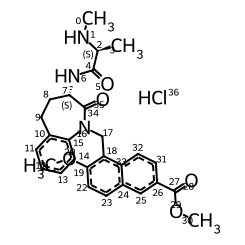 CN[C@@H](C)C(=O)N[C@H]1CCc2ccccc2N(Cc2c(OC)ccc3cc(C(=O)OC)ccc23)C1=O.Cl